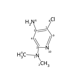 CN(C)c1cc(N)c(Cl)cn1